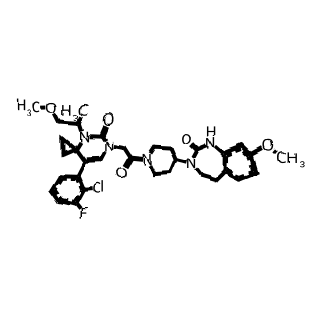 COCC(C)N1C(=O)N(CC(=O)N2CCC(N3CCc4ccc(OC)cc4NC3=O)CC2)C=C(c2cccc(F)c2Cl)C12CC2